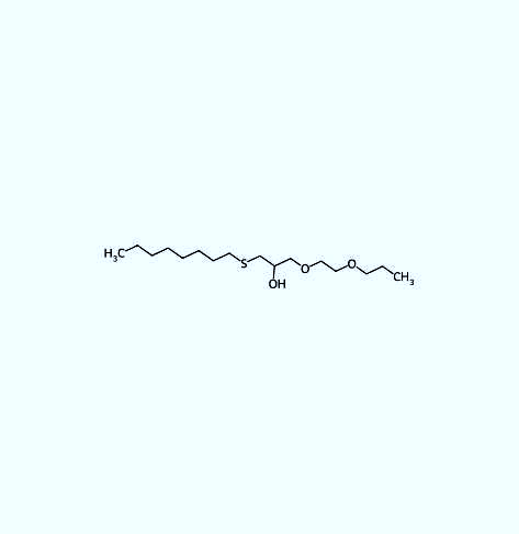 CCCCCCCCSCC(O)COCCOCCC